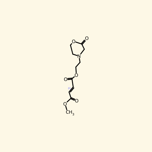 COC(=O)/C=C/C(=O)OCCN1CCOC(=O)C1